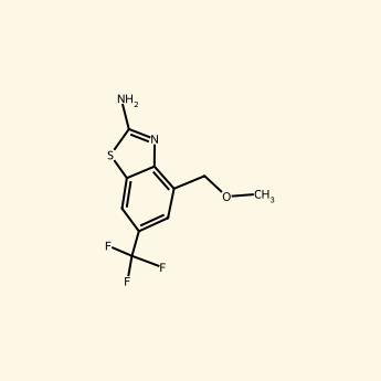 COCc1cc(C(F)(F)F)cc2sc(N)nc12